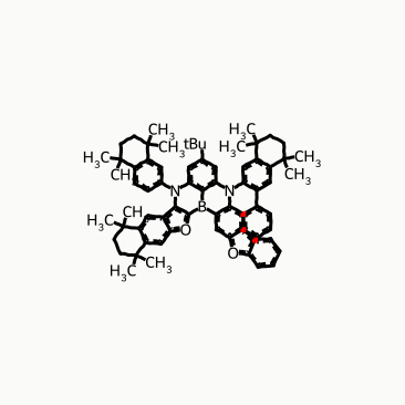 CC(C)(C)c1cc2c3c(c1)N(c1ccc4c(c1)C(C)(C)CCC4(C)C)c1c(oc4cc5c(cc14)C(C)(C)CCC5(C)C)B3c1cc3oc4ccccc4c3cc1N2c1cc2c(cc1-c1ccccc1)C(C)(C)CCC2(C)C